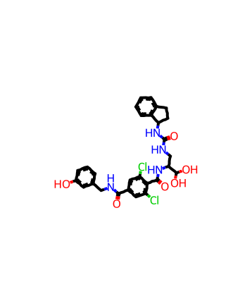 O=C(NCC(NC(=O)c1c(Cl)cc(C(=O)NCc2cccc(O)c2)cc1Cl)C(O)O)NC1CCc2ccccc21